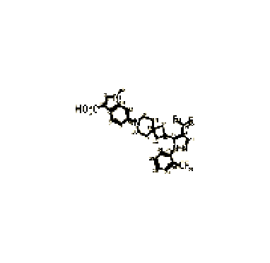 Cn1cc(C(=O)O)c2ccc(N3CCC4(CC3)CC(c3c(C(F)F)cnn3-c3ccccc3C(F)(F)F)C4)cc21